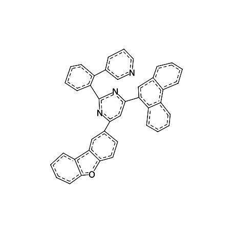 c1cncc(-c2ccccc2-c2nc(-c3ccc4oc5ccccc5c4c3)cc(-c3cc4ccccc4c4ccccc34)n2)c1